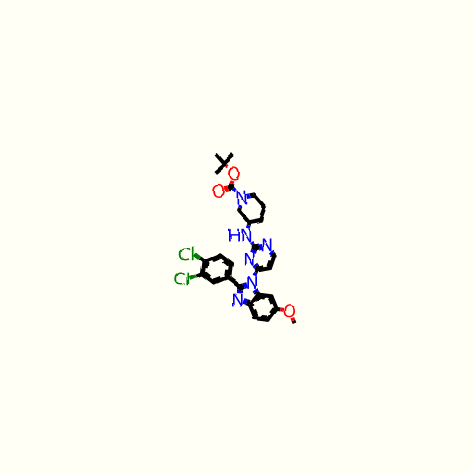 COc1ccc2nc(-c3ccc(Cl)c(Cl)c3)n(-c3ccnc(NC4CCCN(C(=O)OC(C)(C)C)C4)n3)c2c1